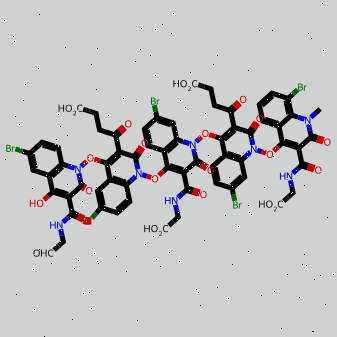 Cn1c(=O)c(C(=O)NCC(=O)O)c(On2c(=O)c(C(=O)CCC(=O)O)c(On3c(=O)c(C(=O)NCC(=O)O)c(On4c(=O)c(C(=O)CCC(=O)O)c(On5c(=O)c(C(=O)NCC=O)c(O)c6cc(Br)ccc65)c5cc(Br)ccc54)c4ccc(Br)cc43)c3ccc(Br)cc32)c2cccc(Br)c21